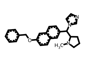 CN1CCCC1C(c1ccc2cc(OCc3ccccc3)ccc2c1)n1ccnc1